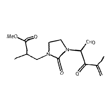 C=C(C)C(=O)C(C=O)N1CCN(CC(C)C(=O)OC)C1=O